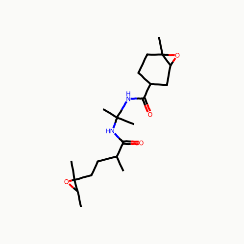 CC(CCC1(C)OC1C)C(=O)NC(C)(C)NC(=O)C1CCC2(C)OC2C1